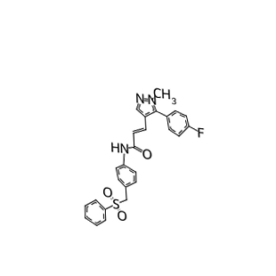 Cn1ncc(C=CC(=O)Nc2ccc(CS(=O)(=O)c3ccccc3)cc2)c1-c1ccc(F)cc1